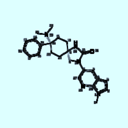 Cn1ccc2cc(N3C[C@]4(CC[C@@](c5ccccc5)(N(C)C)CC4)NC3=O)cnc21